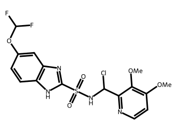 COc1ccnc(C(Cl)NS(=O)(=O)c2nc3cc(OC(F)F)ccc3[nH]2)c1OC